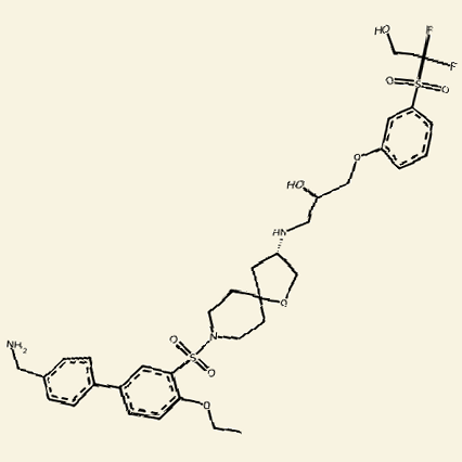 CCOc1ccc(-c2ccc(CN)cc2)cc1S(=O)(=O)N1CCC2(CC1)C[C@H](NCC(O)COc1cccc(S(=O)(=O)C(F)(F)CO)c1)CO2